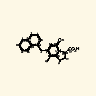 Cc1c(Cc2cccc3ccccc23)cc(=O)n2c1SC[C@H]2C(=O)O